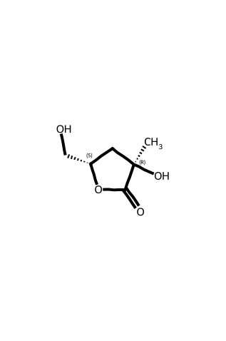 C[C@@]1(O)C[C@@H](CO)OC1=O